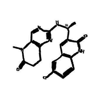 C[C@H](Nc1ncc2c(n1)CCC(=O)N2C)c1cc2cc(Cl)ccc2[nH]c1=O